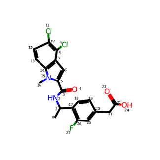 CC(NC(=O)c1cc2c(Cl)c(Cl)ccc2n1C)c1ccc(CC(=O)O)cc1F